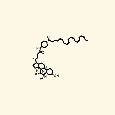 CC/C=C\C/C=C\C/C=C\C/C=C\C/C=C\CCCC(=O)N1CCC(NC(=O)CC[C@@H](C)C2CC[C@H]3[C@@H]4[C@H](O)[C@H](CC)[C@@H]5C[C@H](O)CC[C@]5(C)[C@H]4CC[C@]23C)CC1